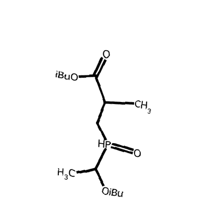 CC(C)COC(=O)C(C)C[PH](=O)C(C)OCC(C)C